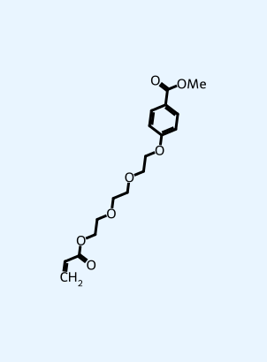 C=CC(=O)OCCOCCOCCOc1ccc(C(=O)OC)cc1